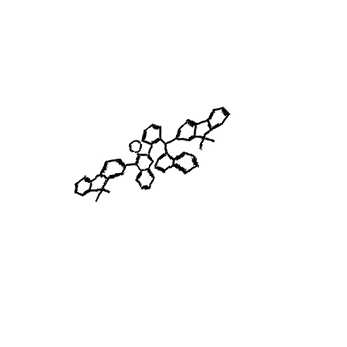 CC1(C)c2ccccc2-c2ccc(-c3c4ccccc4cc4c3oc3cccc(C(c5ccc6c(c5)C(C)(C)c5ccccc5-6)c5cccc6ccccc56)c34)cc21